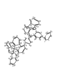 c1ccc(-c2ccc(N(c3ccc(-c4cccc5c4-c4ccccc4C54c5ccccc5Oc5c4ccc4ccccc54)cc3)c3cccc4c3oc3ccccc34)cc2)cc1